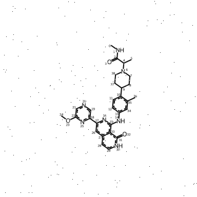 CNC(=O)C(C)N1CCC(c2ccc(Nc3nc(-c4cncc(OC)n4)cc4cc[nH]c(=O)c34)cc2C)CC1